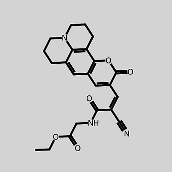 CCOC(=O)CNC(=O)C(C#N)=Cc1cc2cc3c4c(c2oc1=O)CCCN4CCC3